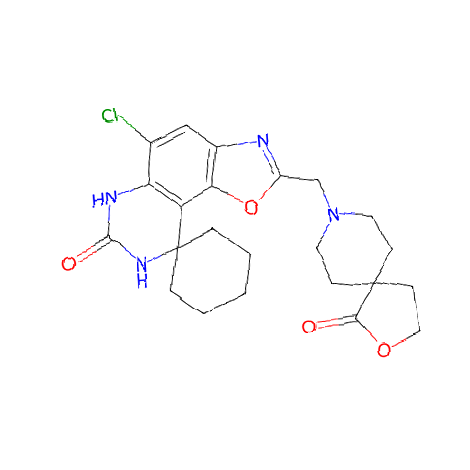 O=C1Nc2c(Cl)cc3nc(CN4CCC5(CCOC5=O)CC4)oc3c2C2(CCCCC2)N1